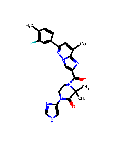 Cc1ccc(-c2cc(C(C)(C)C)c3nc(C(=O)N4CCN(c5c[nH]cn5)C(=O)C4(C)C)cn3n2)cc1F